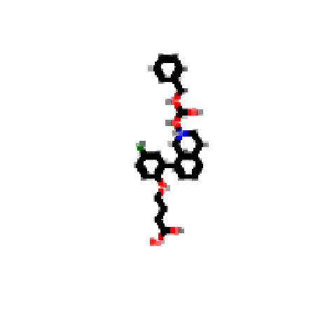 O=C(O)CCCOc1ccc(F)cc1-c1cccc2c1CN(OC(=O)OCc1ccccc1)CC2